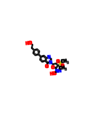 C[C@@](CCn1cnc2cc(-c3ccc(CCO)cc3)ccc2c1=O)(C(=O)NO)S(C)(=O)=O